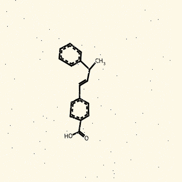 CC(/C=C/c1ccc(C(=O)O)cc1)c1ccccc1